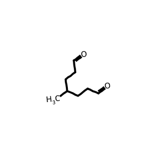 CC(CCC=O)CCC=O